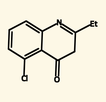 CCC1=Nc2cccc(Cl)c2C(=O)C1